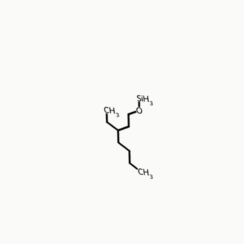 CCCCC(CC)CCO[SiH3]